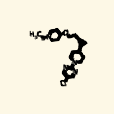 CSN1CCC(OCCC2CC2C2CCN(c3ncc(Cl)cn3)CC2)CC1